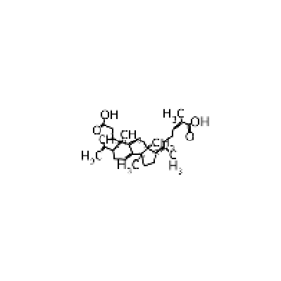 C=C(C)C1CC=C2C(=CC[C@]3(C)[C@@H]([C@H](C)CCC=C(C)C(=O)O)CC[C@@]23C)[C@@]1(C)CCC(=O)O